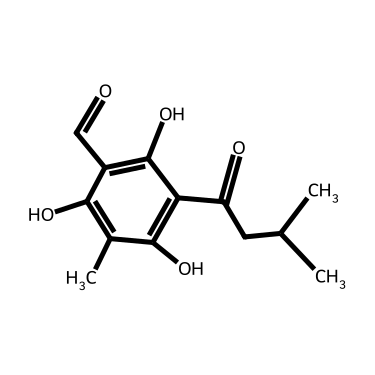 Cc1c(O)c(C=O)c(O)c(C(=O)CC(C)C)c1O